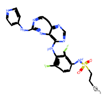 CCCS(=O)(=O)Nc1ccc(F)c(Nc2ncnc3cnc(Nc4ccncc4)nc23)c1F